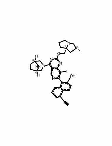 C#Cc1cccc2c(-c3ncc4c(N5C[C@H]6CC[C@@H](C5)N6)nc(OC[C@@]56CCCN5C[C@H](F)C6)nc4c3F)c(O)ccc12